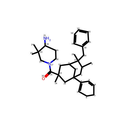 CC1CC2(C3=CCCC=C3)CC(CC(C)(C(=O)N3CCC(N)C(C)(C)C3)C2)C1(C)Cc1ccccc1